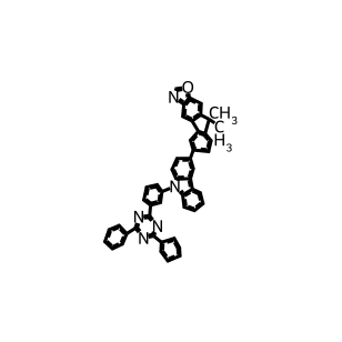 CC1(C)c2ccc(-c3ccc4c(c3)c3ccccc3n4-c3cccc(-c4nc(-c5ccccc5)nc(-c5ccccc5)n4)c3)cc2-c2cc3ncoc3cc21